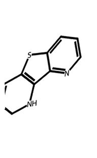 C1=Cc2sc3cccnc3c2NC1